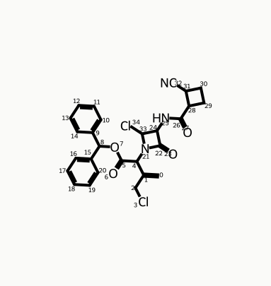 C=C(CCl)C(C(=O)OC(c1ccccc1)c1ccccc1)N1C(=O)C(NC(=O)C2CCC2C#N)C1Cl